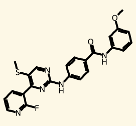 COc1cccc(NC(=O)c2ccc(Nc3ncc(SC)c(-c4cccnc4F)n3)cc2)c1